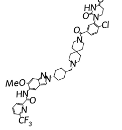 COc1cc2nn([C@H]3CC[C@H](CN4CCC5(CC4)CCN(C(=O)c4ccc(Cl)c(N6CCC(=O)NC6=O)c4)CC5)CC3)cc2cc1NC(=O)c1cccc(C(F)(F)F)n1